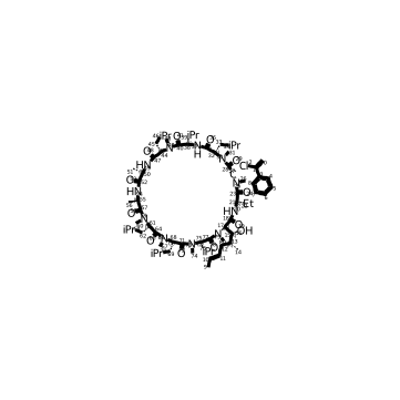 C=C(Cl)c1ccccc1.CC=CC[C@@H](C)[C@@H](O)[C@H]1C(=O)N[C@@H](CC)C(=O)N(C)CC(=O)N(C)[C@@H](CC(C)C)C(=O)N[C@@H](C(C)C)C(=O)N(C)[C@@H](CC(C)C)C(=O)N[C@@H](C)C(=O)N[C@H](C)C(=O)N(C)[C@@H](CC(C)C)C(=O)N(C)[C@@H](CC(C)C)C(=O)N(C)[C@@H](C(C)C)C(=O)N1C